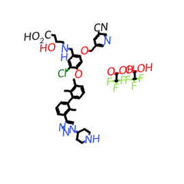 Cc1c(COc2cc(OCc3cncc(C#N)c3)c(CNC[C@@H](O)CC(=O)O)cc2Cl)cccc1-c1cccc(-c2cn(C3CCNCC3)nn2)c1C.O=C(O)C(F)(F)F.O=C(O)C(F)(F)F